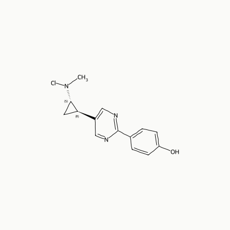 CN(Cl)[C@H]1C[C@@H]1c1cnc(-c2ccc(O)cc2)nc1